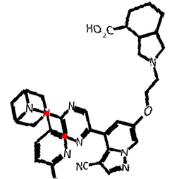 COc1ccc(CN2C3CC2CN(c2cnc(-c4cc(OCCN5CC6CCCC(C(=O)O)C6C5)cn5ncc(C#N)c45)cn2)C3)cn1